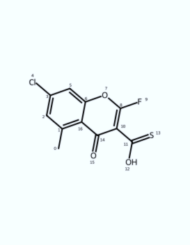 Cc1cc(Cl)cc2oc(F)c(C(O)=S)c(=O)c12